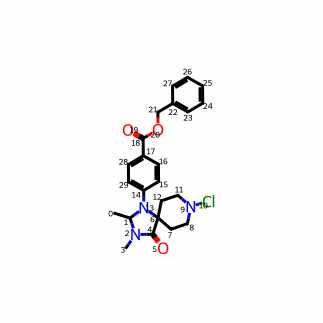 CC1N(C)C(=O)C2(CCN(Cl)CC2)N1c1ccc(C(=O)OCc2ccccc2)cc1